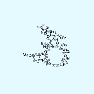 CCC[C@@H]1CC1(NC(=O)[C@@H]1[C@H](CC)[C@@H]2CN1C(=O)[C@H](C(C)(C)C)NC(=O)O[C@@H]1C[C@H]1CCCCC(F)(F)c1nc3ccc(OC)cc3nc1O2)C(=O)NS(=O)(=O)C1(C)CC1